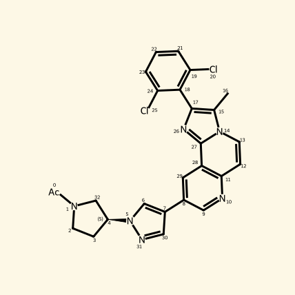 CC(=O)N1CC[C@H](n2cc(-c3cnc4ccn5c(C)c(-c6c(Cl)cccc6Cl)nc5c4c3)cn2)C1